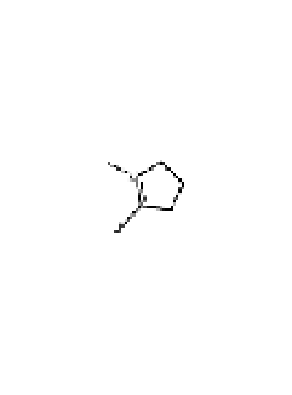 C[Si]1=C(Cl)CCC1